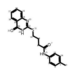 Cc1ccc(NC(=O)CCCSc2nc3ccccc3c(=O)[nH]2)cc1